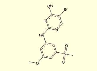 COc1cc(Nc2ncc(Br)c(O)n2)cc(S(C)(=O)=O)c1